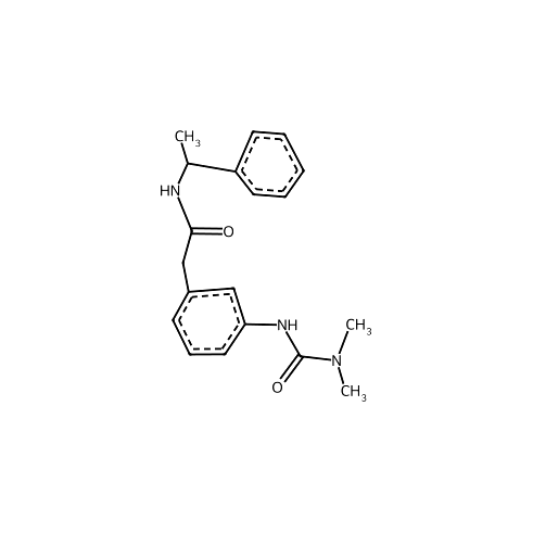 CC(NC(=O)Cc1cccc(NC(=O)N(C)C)c1)c1ccccc1